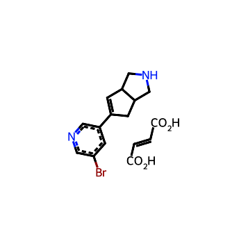 Brc1cncc(C2=CC3CNCC3C2)c1.O=C(O)C=CC(=O)O